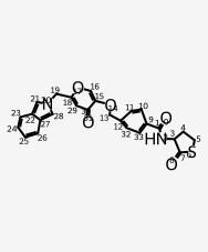 O=C(NC1CCSC1=O)c1ccc(COc2coc(Cn3cc4ccccc4c3)cc2=O)cc1